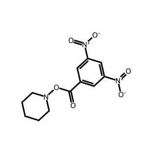 O=C(ON1CCCCC1)c1cc([N+](=O)[O-])cc([N+](=O)[O-])c1